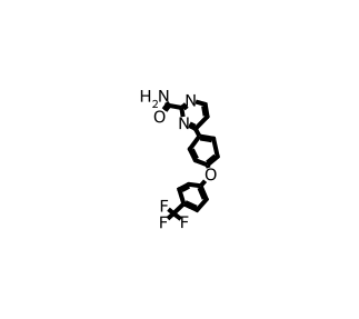 NC(=O)c1nccc(-c2ccc(Oc3ccc(C(F)(F)F)cc3)cc2)n1